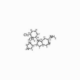 Cn1cncc1-c1cc2cnc(N)cc2n1-c1cccc(Cl)c1